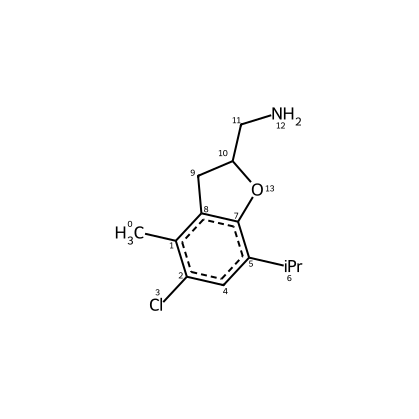 Cc1c(Cl)cc(C(C)C)c2c1CC(CN)O2